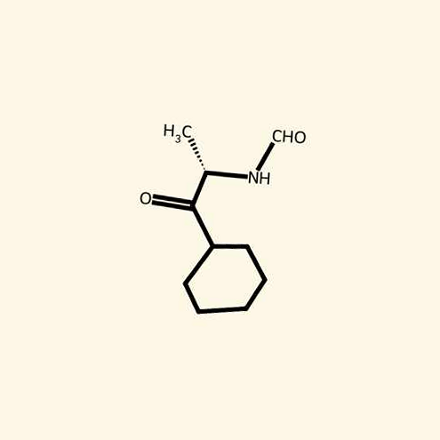 C[C@H](NC=O)C(=O)C1CCCCC1